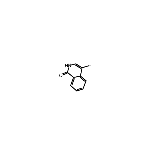 [CH2]c1c[nH]c(=O)c2ccccc12